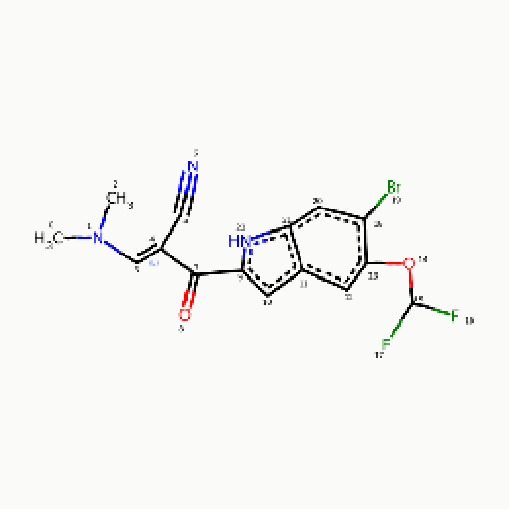 CN(C)/C=C(\C#N)C(=O)c1cc2cc(OC(F)F)c(Br)cc2[nH]1